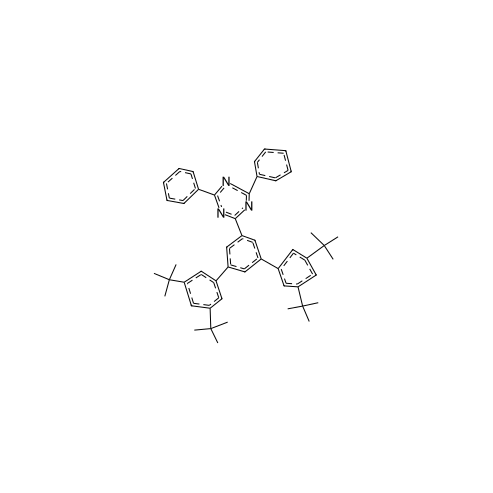 CC(C)(C)c1cc(-c2cc(-c3cc(C(C)(C)C)cc(C(C)(C)C)c3)cc(-c3nc(-c4ccccc4)nc(-c4ccccc4)n3)c2)cc(C(C)(C)C)c1